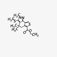 CCOC(=O)c1scc2c1CC(C)(C)c1c-2nn(C)c1SC